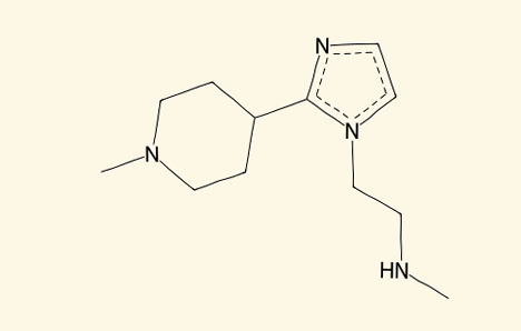 CNCCn1ccnc1C1CCN(C)CC1